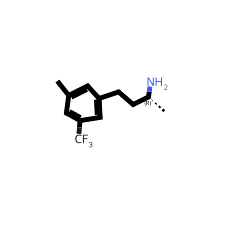 Cc1cc(CC[C@@H](C)N)cc(C(F)(F)F)c1